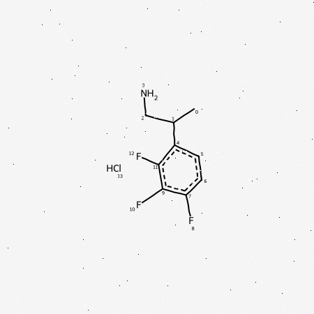 CC(CN)c1ccc(F)c(F)c1F.Cl